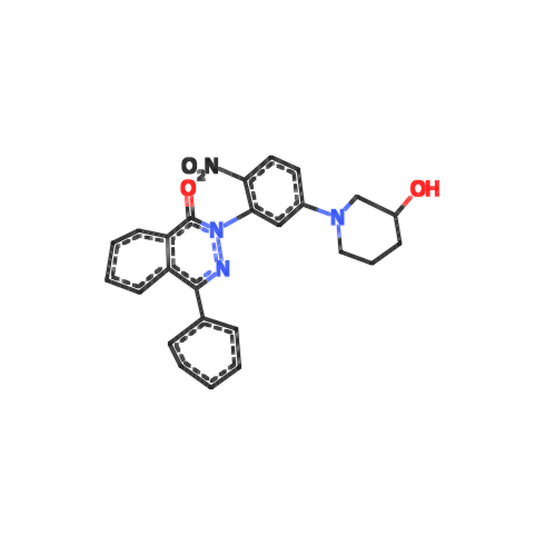 O=c1c2ccccc2c(-c2ccccc2)nn1-c1cc(N2CCCC(O)C2)ccc1[N+](=O)[O-]